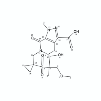 COCC(C)(CO)S(=O)(=O)C1(CN2CCc3c(C(=O)O)nn(C)c3C2=O)CC1